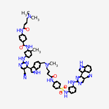 Cc1ccc(Nc2ncc(C#N)c(-c3c[nH]c4cc(CN(C)C/C=C/C(=O)Nc5ccc(S(=O)(=O)Nc6cccc(Nc7ncc(C#N)c(-c8c[nH]c9ccccc89)n7)c6)cc5)ccc34)n2)cc1NC(=O)c1ccc(NC(=O)/C=C/CN(C)C)cc1